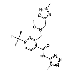 CON(Cc1nnn(C)n1)Cc1nc(C(F)(F)F)ccc1C(=O)Nc1nnnn1C